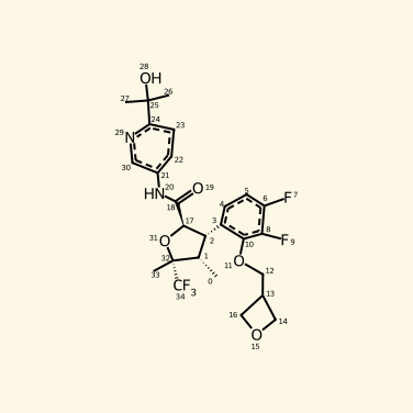 C[C@H]1[C@@H](c2ccc(F)c(F)c2OCC2COC2)[C@H](C(=O)Nc2ccc(C(C)(C)O)nc2)O[C@@]1(C)C(F)(F)F